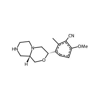 COc1ccc([C@H]2CN3CCNC[C@H]3CO2)c(C)c1C#N